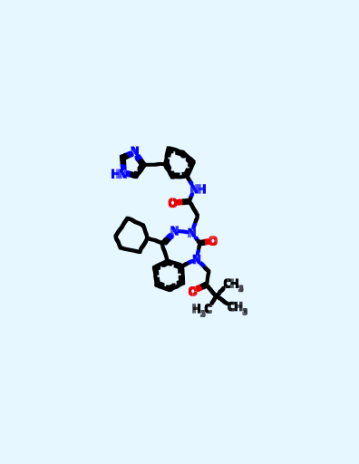 CC(C)(C)C(=O)CN1C(=O)N(CC(=O)Nc2cccc(-c3c[nH]cn3)c2)N=C(C2CCCCC2)c2ccccc21